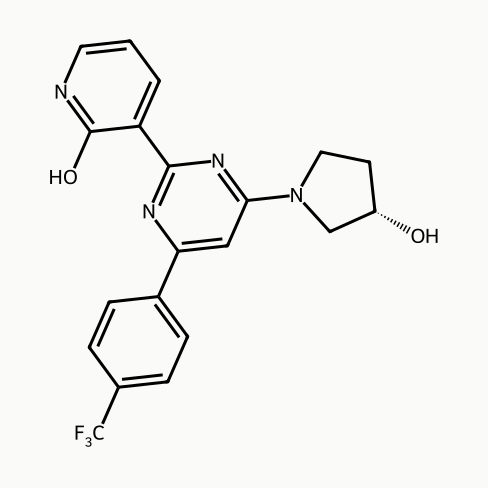 Oc1ncccc1-c1nc(-c2ccc(C(F)(F)F)cc2)cc(N2CC[C@H](O)C2)n1